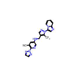 N#Cc1cc(NCc2cnn(-c3cnc4ccccn34)c2C(F)(F)F)cnc1-n1nccn1